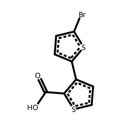 O=C(O)c1sccc1-c1ccc(Br)s1